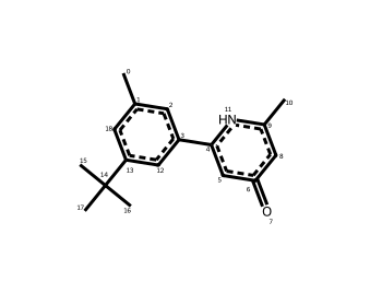 Cc1cc(-c2cc(=O)cc(C)[nH]2)cc(C(C)(C)C)c1